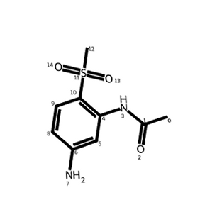 CC(=O)Nc1cc(N)ccc1S(C)(=O)=O